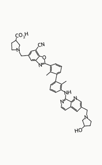 Cc1c(Nc2nccc3cc(CN4CCC(O)C4)cnc23)cccc1-c1cccc(-c2nc3cc(CN4CCC(C(=O)O)C4)cc(C#N)c3o2)c1C